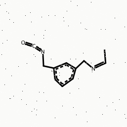 C/C=N\Cc1cccc(CN=C=O)c1